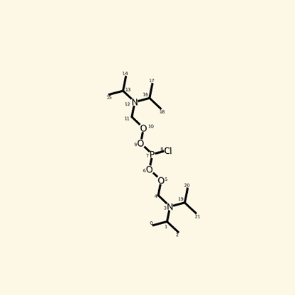 CC(C)N(COOP(Cl)OOCN(C(C)C)C(C)C)C(C)C